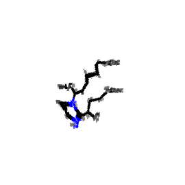 CCCCCCCCCCCCCCC(C)[n+]1cc[nH]c1C(CCC)CCCCCCCCCCCC